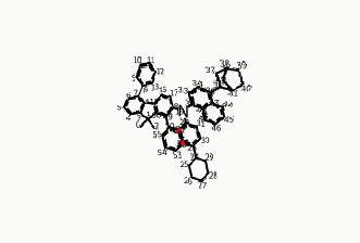 CC1(C)c2cccc(-c3ccccc3)c2-c2ccc(N(c3ccc(C4CCCCC4)cc3)c3ccc(C4CC5CCC4C5)c4ccccc34)c(-c3ccccc3)c21